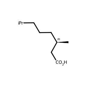 CC(C)CCC[C@@H](C)CC(=O)O